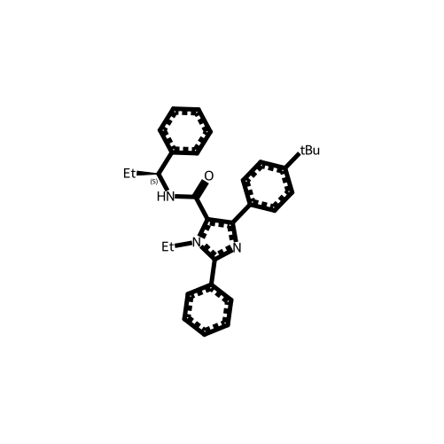 CC[C@H](NC(=O)c1c(-c2ccc(C(C)(C)C)cc2)nc(-c2ccccc2)n1CC)c1ccccc1